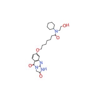 O=C1Cn2c(nc3cc(OCCCCCCC(=O)N(CCO)C4CCCCC4)ccc3c2=O)N1